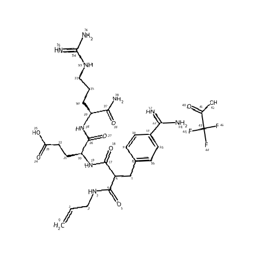 C=CCNC(=O)C(Cc1ccc(C(=N)N)cc1)C(=O)N[C@@H](CCC(=O)O)C(=O)N[C@@H](CCCNC(=N)N)C(N)=O.O=C(O)C(F)(F)F